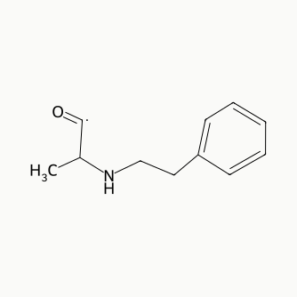 CC([C]=O)NCCc1ccccc1